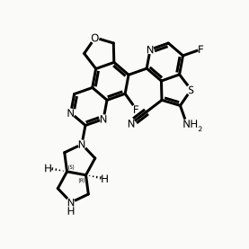 N#Cc1c(N)sc2c(F)cnc(-c3c4c(c5cnc(N6C[C@H]7CNC[C@H]7C6)nc5c3F)COC4)c12